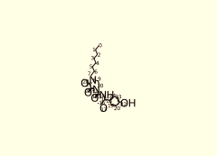 CCCCCCCCN1CCN(C(=O)NC([C]=O)c2ccc(O)cc2)C(=O)C1=O